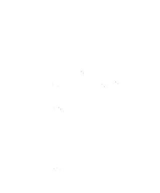 COc1c#ccc(S(=O)(=O)NC(=O)c2c(C)[nH]c3c(-c4ccccc4)c(C(F)(F)F)nn3c2=O)c1